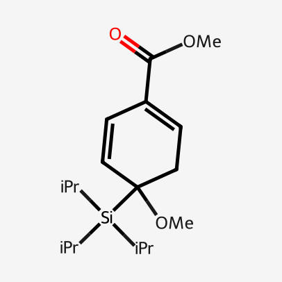 COC(=O)C1=CCC(OC)([Si](C(C)C)(C(C)C)C(C)C)C=C1